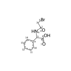 O=C(CBr)NC(C(=O)O)c1ccccc1